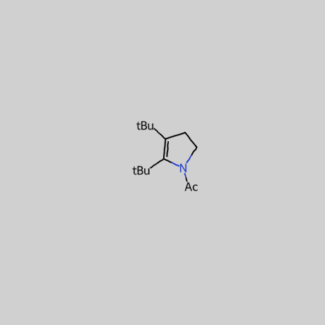 CC(=O)N1CCC(C(C)(C)C)=C1C(C)(C)C